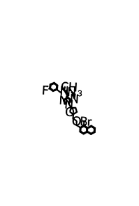 CN(Cc1cccc(F)c1)c1ncnc2c1ncn2C1CCC(COCc2ccc3ccccc3c2Br)O1